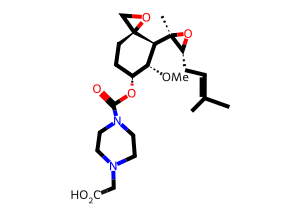 CO[C@@H]1[C@H](OC(=O)N2CCN(CC(=O)O)CC2)CC[C@]2(CO2)[C@H]1[C@@]1(C)O[C@@H]1CC=C(C)C